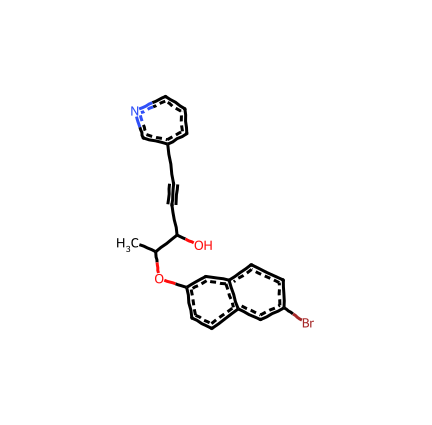 CC(Oc1ccc2cc(Br)ccc2c1)C(O)C#Cc1cccnc1